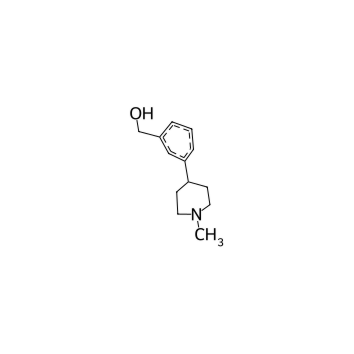 CN1CCC(c2cccc(CO)c2)CC1